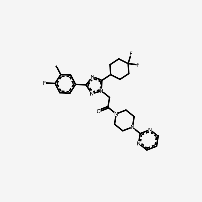 Cc1cc(-c2nc(C3CCC(F)(F)CC3)n(CC(=O)N3CCN(c4ncccn4)CC3)n2)ccc1F